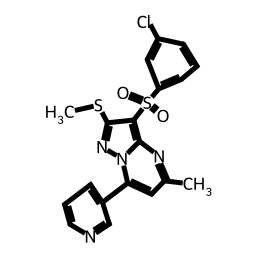 CSc1nn2c(-c3cccnc3)cc(C)nc2c1S(=O)(=O)c1cccc(Cl)c1